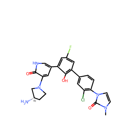 Cn1ccn(-c2ccc(-c3cc(F)cc(-c4c[nH]c(=O)c(N5CC[C@H](N)C5)c4)c3O)cc2Cl)c1=O